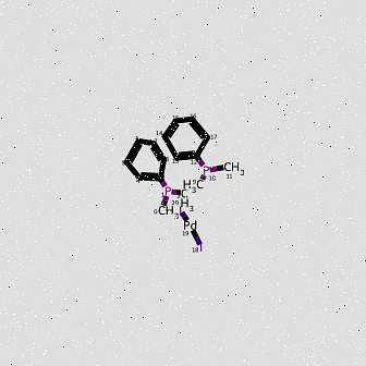 CP(C)c1ccccc1.CP(C)c1ccccc1.[I][Pd][I]